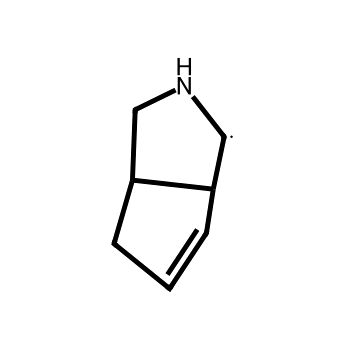 [CH]1NCC2CC=CC12